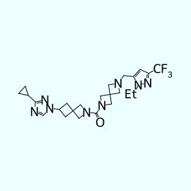 CCn1nc(C(F)(F)F)cc1CN1CC2(C1)CN(C(=O)N1CC3(CC(n4cnc(C5CC5)n4)C3)C1)C2